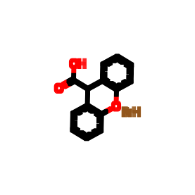 Br.O=C(O)C1c2ccccc2Oc2ccccc21